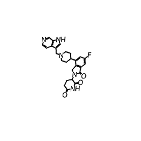 O=C1CCC(N2Cc3c(cc(F)cc3C3CCN(Cc4c[nH]c5cnccc45)CC3)C2=O)C(=O)N1